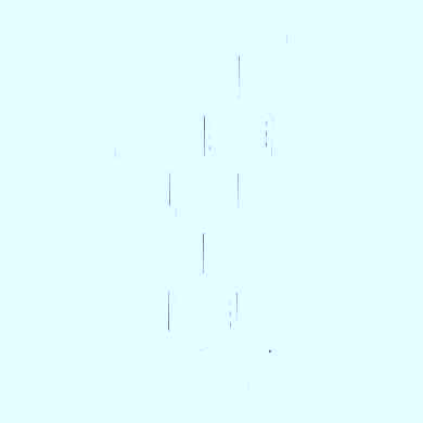 CC(C)c1ccc(CCc2cccc(C(F)(F)F)c2)c(C(C)C)c1